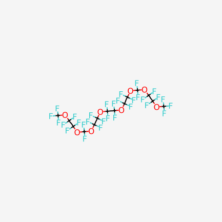 FC(F)(F)OC(F)(F)C(F)(F)OC(F)(F)OC(F)(F)C(F)(F)OC(F)(F)C(F)(F)OC(F)(F)C(F)(F)OC(F)(F)OC(F)(F)C(F)(F)OC(F)(F)F